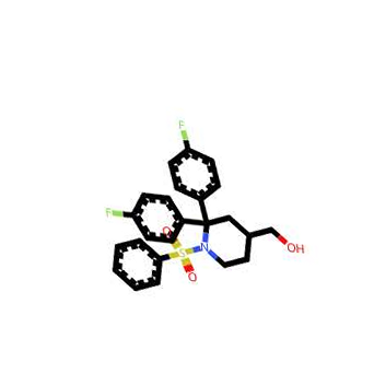 O=S(=O)(c1ccccc1)N1CCC(CO)CC1(c1ccc(F)cc1)c1ccc(F)cc1